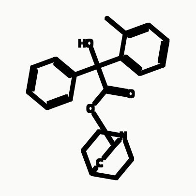 Cc1ccccc1C(O)(C(=O)OC1CC2CCN1CC2)c1ccccc1